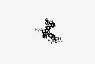 CCCc1c(Cc2ccc(-c3ccccc3-c3noc(=O)[nH]3)cc2)c(=O)n([C@H]2CC[C@]3(CCC(C(C)(C)O)O3)CC2)c2ncnn12